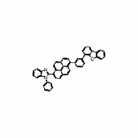 c1ccc(-n2c(-c3ccc4ccc5c(-c6cccc(-c7cccc8c7oc7ccccc78)c6)ccc6ccc3c4c65)nc3ccccc32)cc1